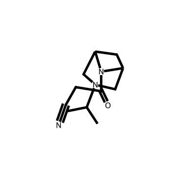 CC(C)N1CC2CC(C1)N2C(=O)CC#N